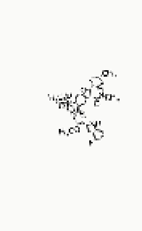 CNC(=O)c1c(-c2ccc(C)cc2)oc2cc(N(C)S(C)(=O)=O)c(-c3ncc(OC)c(-c4cc5c(F)cccc5[nH]4)n3)cc12